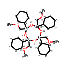 CC(C)OC[Si]1(C2CCCCC2)O[Si](COC(C)C)(C2CCCCC2)O[Si](COC(C)C)(C2CCCCC2)O[Si](COC(C)C)(C2CCCCC2)O1